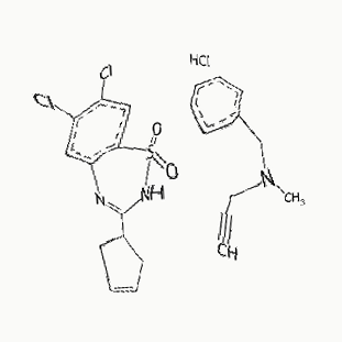 C#CCN(C)Cc1ccccc1.Cl.O=S1(=O)NC(C2CC=CC2)=Nc2cc(Cl)c(Cl)cc21